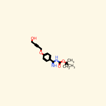 CC(C)(C)OC(=O)NC(=N)c1ccc(OCC#CCO)cc1